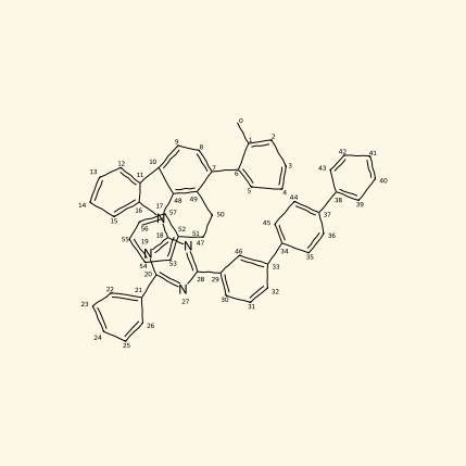 Cc1ccccc1-c1ccc2c3ccccc3n(-c3nc(-c4ccccc4)nc(-c4cccc(-c5ccc(-c6ccccc6)cc5)c4)n3)c2c1CCc1ccccc1